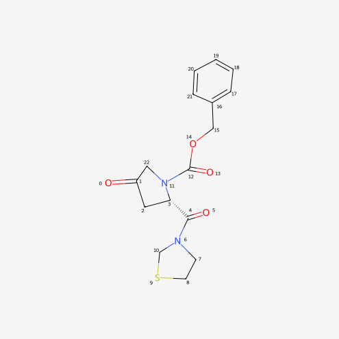 O=C1C[C@@H](C(=O)N2CCSC2)N(C(=O)OCc2ccccc2)C1